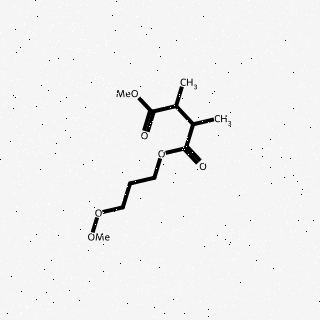 COOCCCOC(=O)C(C)C(C)C(=O)OC